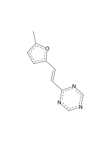 Cc1ccc(C=Cc2ncncn2)o1